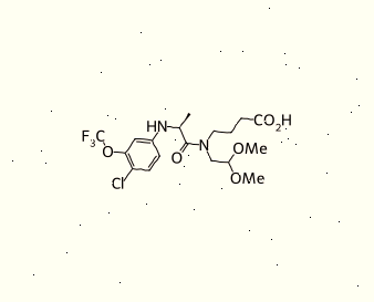 COC(CN(CCCC(=O)O)C(=O)[C@H](C)Nc1ccc(Cl)c(OC(F)(F)F)c1)OC